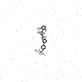 CC(C)Cc1ccc(-c2ccc3oc(-c4c[nH]c(-c5c(F)cccc5Cl)n4)cc3c2)cc1